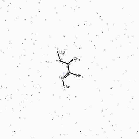 CC(=O)O/N=C(\N)[C@H](C)NC(=O)O